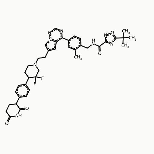 Cc1cc(-c2ncnn3cc(CCN4CCC(c5ccc(C6CCC(=O)NC6=O)cc5)C(F)(F)C4)cc23)ccc1CNC(=O)c1noc(C(C)(C)C)n1